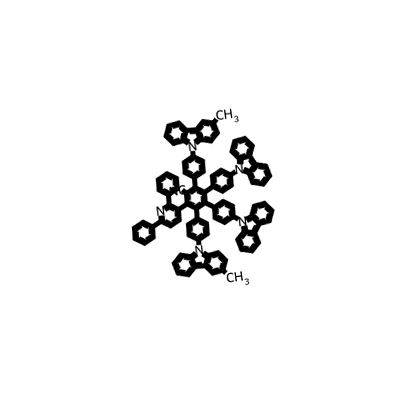 Cc1ccc2c(c1)c1ccccc1n2-c1ccc(-c2c(C#N)c(-c3ccc(-c4ccccc4)nc3-c3ccccc3)c(-c3ccc(-n4c5ccccc5c5cc(C)ccc54)cc3)c(-c3ccc(-n4c5ccccc5c5ccccc54)cc3)c2-c2ccc(-n3c4ccccc4c4ccccc43)cc2)cc1